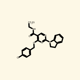 CCOC(=O)CNC(=O)c1cnc(N2CCc3ccccc32)nc1OCc1ccc(Cl)cc1